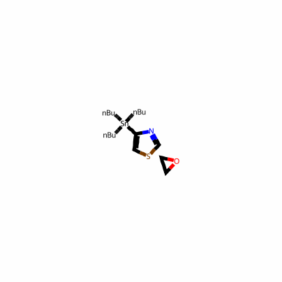 C1CO1.CCC[CH2][Sn]([CH2]CCC)([CH2]CCC)[c]1cscn1